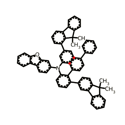 CC1(C)c2ccccc2-c2cc(-c3cccc(N(c4cccc(-c5cccc6c5C(C)(C)c5ccccc5-6)c4)c4ccc5c(c4)oc4ccccc45)c3-c3ccc(-c4ccccc4)cc3)ccc21